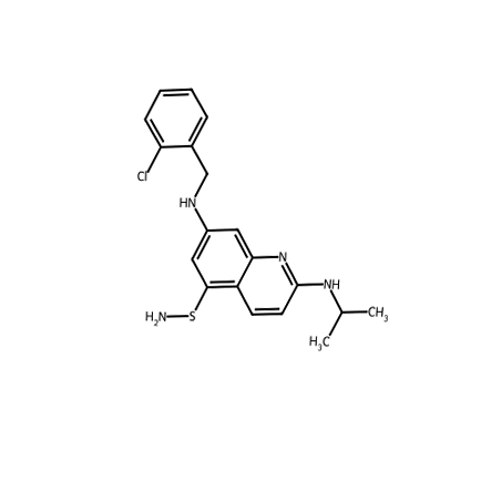 CC(C)Nc1ccc2c(SN)cc(NCc3ccccc3Cl)cc2n1